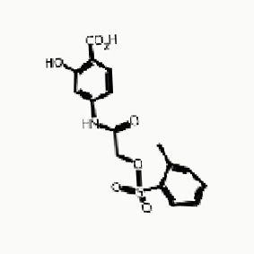 Cc1ccccc1S(=O)(=O)OCC(=O)Nc1ccc(C(=O)O)c(O)c1